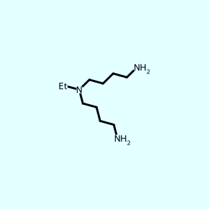 CCN(CCCCN)CCCCN